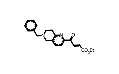 CCOC(=O)/C=C/C(=O)c1ccc2c(n1)CCN(Cc1ccccc1)C2